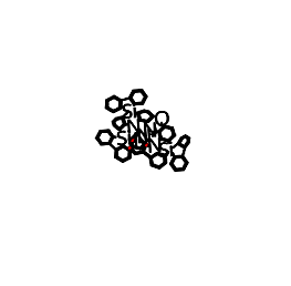 c1ccc2c(c1)-c1ccccc1[Si]21c2cccc3c2N2c4c1ccc1c4[N+]4(c5c(ccc6c5-n5c7c(cccc7c7ccc[n+]4c75)[Si]64c5ccccc5-c5ccccc54)O1)[n+]1cccc(c12)[Si]31c2ccccc2-c2ccccc21